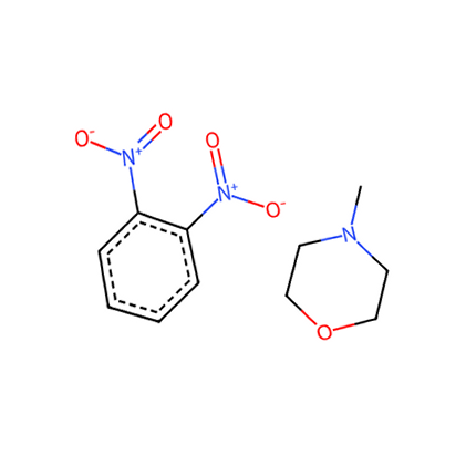 CN1CCOCC1.O=[N+]([O-])c1ccccc1[N+](=O)[O-]